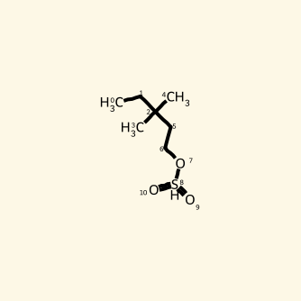 CCC(C)(C)CCO[SH](=O)=O